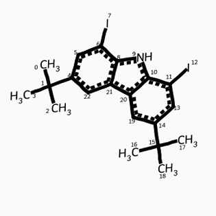 CC(C)(C)c1cc(I)c2[nH]c3c(I)cc(C(C)(C)C)cc3c2c1